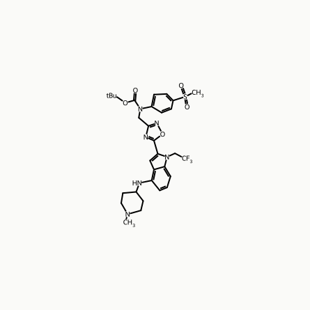 CN1CCC(Nc2cccc3c2cc(-c2nc(CN(C(=O)OC(C)(C)C)c4ccc(S(C)(=O)=O)cc4)no2)n3CC(F)(F)F)CC1